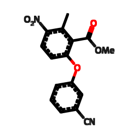 COC(=O)c1c(Oc2cccc(C#N)c2)ccc([N+](=O)[O-])c1C